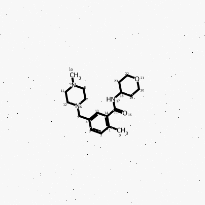 Cc1ccc(CN2CCN(C)CC2)cc1C(=O)NC1CCOCC1